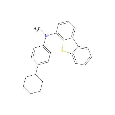 CN(c1ccc(C2CCCCC2)cc1)c1cccc2c1sc1ccccc12